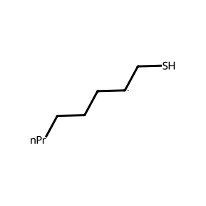 CCCCCC[CH]CS